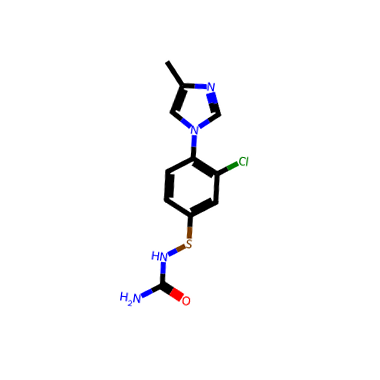 Cc1cn(-c2ccc(SNC(N)=O)cc2Cl)cn1